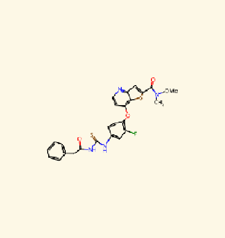 CON(C)C(=O)c1cc2nccc(Oc3ccc(NC(=S)NC(=O)Cc4ccccc4)cc3F)c2s1